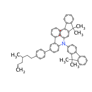 C=CCC(C)CCc1ccc(-c2ccc(N(c3ccc4c(c3)C(C)(C)c3ccccc3-4)c3ccc4c(c3)C(C)(C)c3ccccc3-4)c(-c3ccccc3)c2)cc1